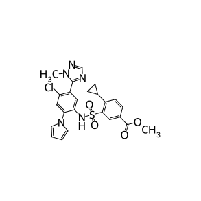 COC(=O)c1ccc(C2CC2)c(S(=O)(=O)Nc2cc(-c3ncnn3C)c(Cl)cc2-n2cccc2)c1